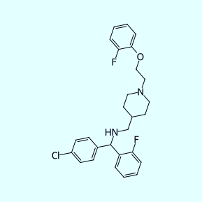 Fc1ccccc1OCCN1CCC(CNC(c2ccc(Cl)cc2)c2ccccc2F)CC1